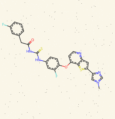 Cn1cnc(-c2cc3nccc(Oc4ccc(NC(=S)NC(=O)Cc5cccc(F)c5)cc4F)c3s2)c1